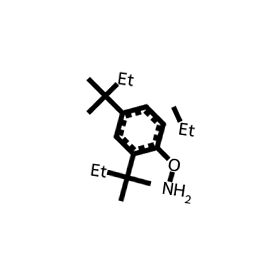 CCC.CCC(C)(C)c1ccc(ON)c(C(C)(C)CC)c1